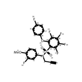 C#CCN(c1ccc(OC)c(F)c1)S(=O)(=O)c1c(F)c(F)c(F)c(F)c1Oc1ccc(F)cc1